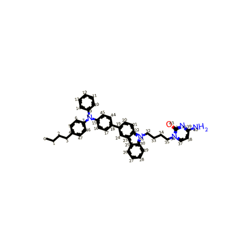 CCCCc1ccc(N(c2ccccc2)c2ccc(-c3ccc4c(c3)c3ccccc3n4CCCCn3ccc(N)nc3=O)cc2)cc1